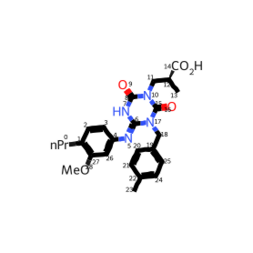 CCCc1ccc(/N=c2\[nH]c(=O)n(C[C@H](C)C(=O)O)c(=O)n2Cc2ccc(C)cc2)cc1OC